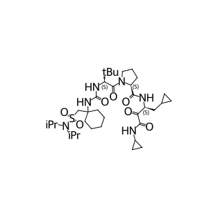 CC(C)N(C(C)C)S(=O)(=O)CC1(NC(=O)N[C@H](C(=O)N2CCC[C@H]2C(=O)N[C@@H](CC2CC2)C(=O)C(=O)NC2CC2)C(C)(C)C)CCCCC1